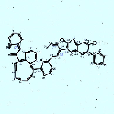 C=C(/C=c1/ccccc1=C)c1ccccccc(-c2cccc(C/C=c3\c(=C/C)oc4cc5cc(O)c(-c6ccccc6)cc5cc34)c2)c2ccccc12